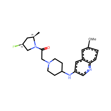 COc1ccc2ncc(NC3CCN(CC(=O)N4C[C@@H](F)C[C@H]4C)CC3)cc2c1